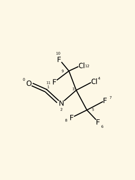 O=C=NC(Cl)(C(F)(F)F)C(F)(F)Cl